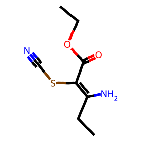 CCOC(=O)/C(SC#N)=C(\N)CC